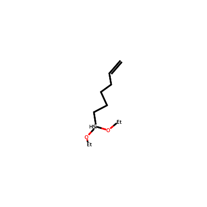 C=CCCCC[SiH](OCC)OCC